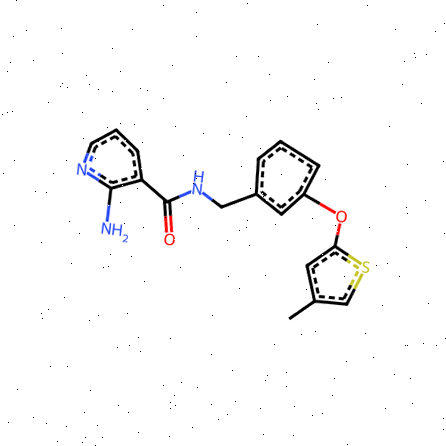 Cc1csc(Oc2cccc(CNC(=O)c3cccnc3N)c2)c1